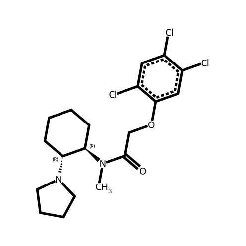 CN(C(=O)COc1cc(Cl)c(Cl)cc1Cl)[C@@H]1CCCC[C@H]1N1CCCC1